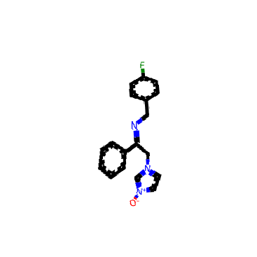 [O-][n+]1ccn(CC(=NCc2ccc(F)cc2)c2ccccc2)c1